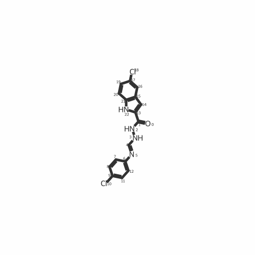 O=C(NNC=Nc1ccc(Cl)cc1)c1cc2cc(Cl)ccc2[nH]1